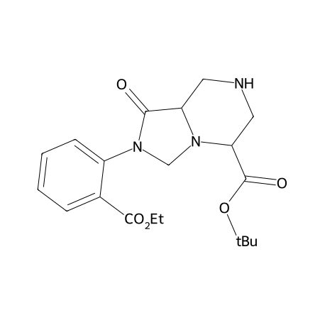 CCOC(=O)c1ccccc1N1CN2C(C(=O)OC(C)(C)C)CNCC2C1=O